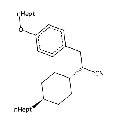 CCCCCCCOc1ccc(CC(C#N)[C@H]2CC[C@H](CCCCCCC)CC2)cc1